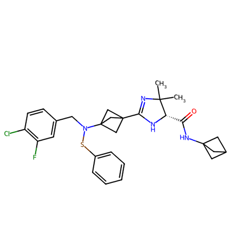 CC1(C)N=C(C23CC(N(Cc4ccc(Cl)c(F)c4)Sc4ccccc4)(C2)C3)N[C@H]1C(=O)NC12CC(C1)C2